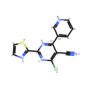 N#Cc1c(Cl)nc(-c2nccs2)nc1-c1cccnc1